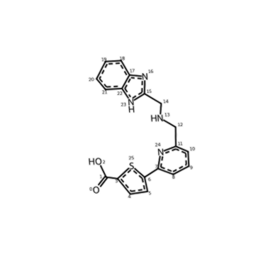 O=C(O)c1ccc(-c2cccc(CNCc3nc4ccccc4[nH]3)n2)s1